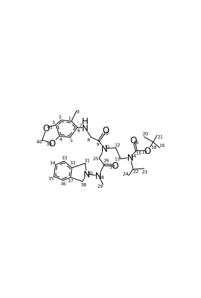 Cc1cc2c(cc1NCC(=O)N(CCN(C(=O)OC(C)(C)C)C(C)C)CC(=O)N(C)N1Cc3ccccc3C1)OCO2